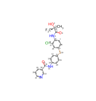 C[C@@](O)(C(=O)Nc1ccc(Sc2ccc(NC(=O)c3cccnc3)cc2)cc1Cl)C(F)(F)F